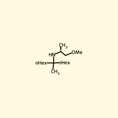 CCCCCCC(C)(CCCCCC)N[C@@H](C)COC